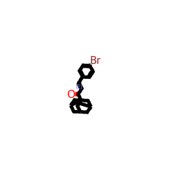 O=C(/C=C/c1ccc(Br)cc1)C12CC3CC(CC(C3)C1)C2